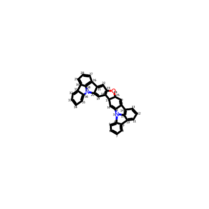 C1=c2c(n3c4ccccc4c4cccc2c43)=CC2c3cc4c(cc3OC12)c1cccc2c3ccccc3n4c21